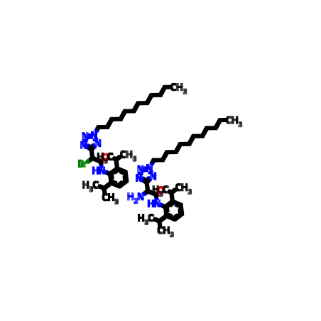 CCCCCCCCCCCCn1nnc(C(Br)C(=O)Nc2c(C(C)C)cccc2C(C)C)n1.CCCCCCCCCCCCn1nnc(C(N)C(=O)Nc2c(C(C)C)cccc2C(C)C)n1